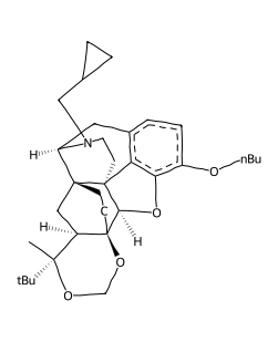 CCCCOc1ccc2c3c1O[C@H]1[C@@]45CC[C@@]6(C[C@@H]4[C@@](C)(C(C)(C)C)OCO5)[C@@H](C2)N(CC2CC2)CC[C@]316